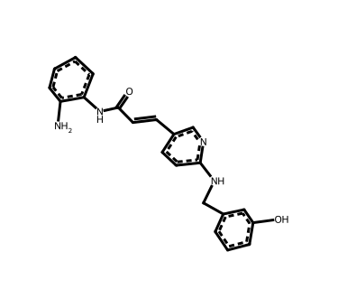 Nc1ccccc1NC(=O)/C=C/c1ccc(NCc2cccc(O)c2)nc1